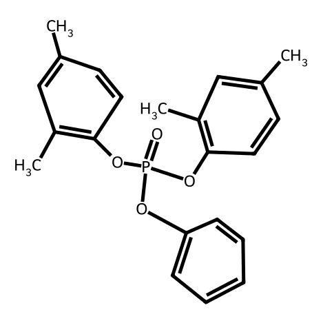 Cc1ccc(OP(=O)(Oc2ccccc2)Oc2ccc(C)cc2C)c(C)c1